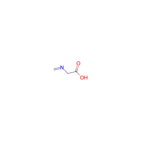 C=NCC(=O)O